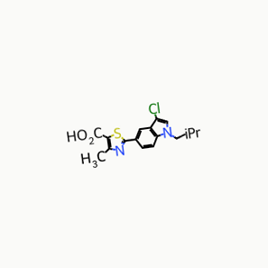 Cc1nc(-c2ccc3c(c2)c(Cl)cn3CC(C)C)sc1C(=O)O